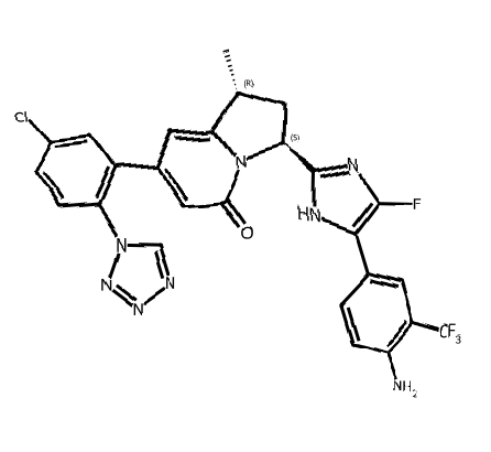 C[C@@H]1C[C@@H](c2nc(F)c(-c3ccc(N)c(C(F)(F)F)c3)[nH]2)n2c1cc(-c1cc(Cl)ccc1-n1cnnn1)cc2=O